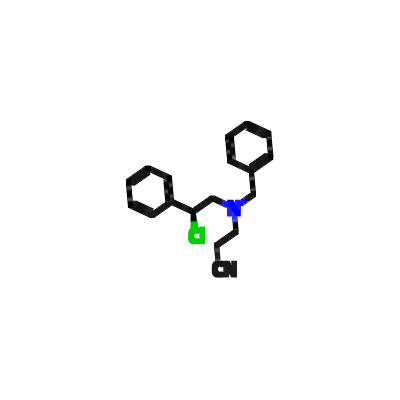 N#CCCN(Cc1ccccc1)C[C@@H](Cl)c1ccccc1